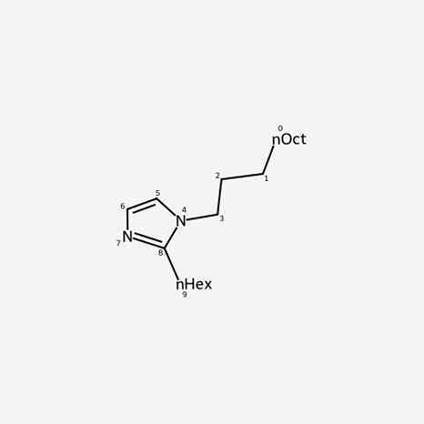 CCCCCCCCCCCn1ccnc1CCCCCC